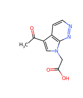 CC(=O)c1cn(CC(=O)O)c2nnccc12